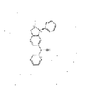 C[C@H]1Cc2ccc(C(O)c3ccccc3)cc2[C@@H]1c1ccccc1